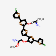 N[C@H](COc1cc(-c2ccc(F)s2)sc1-c1ccc(-c2sc(-c3ccc(F)s3)cc2OC[C@H](N)C(=O)O)s1)OC=O